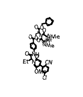 CCC(C(=O)Nc1ccc(C(=O)OC[C@@H](C(=O)OCc2ccccc2)N(C(=O)[C@@H](NC)C(C)C)C(=O)[C@@H](NC)C(C)C)cc1)n1cc(OC)c(-c2cc(Cl)ccc2C#N)cc1=O